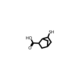 O=C(O)C1CC2CC(S)C1C2